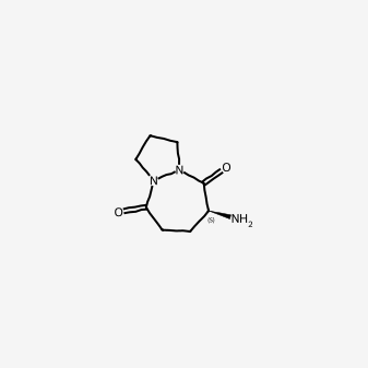 N[C@H]1CCC(=O)N2CCCN2C1=O